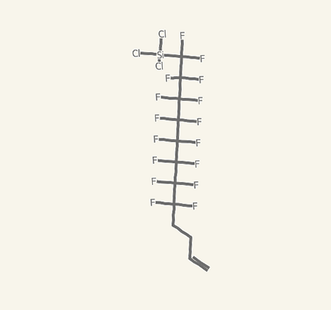 C=CCCC(F)(F)C(F)(F)C(F)(F)C(F)(F)C(F)(F)C(F)(F)C(F)(F)C(F)(F)[Si](Cl)(Cl)Cl